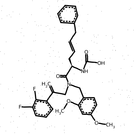 C=C(CN(Cc1ccc(OC)cc1OC)C(=O)[C@@H](CC=CCc1ccccc1)NC(=O)O)c1cccc(F)c1F